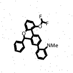 CNc1ccccc1-c1ccc2c(c1)C(c1ccccc1)Oc1cccc(OC(F)F)c1-2